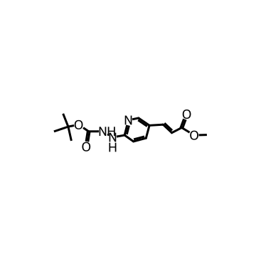 COC(=O)C=Cc1ccc(NNC(=O)OC(C)(C)C)nc1